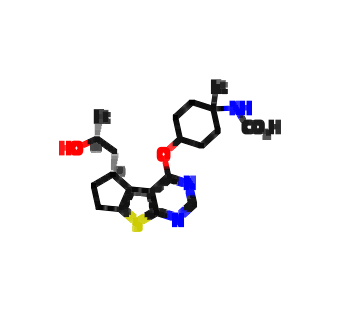 CC[C@@H](O)C[C@H]1CCc2sc3ncnc(OC4CCC(CC)(NC(=O)O)CC4)c3c21